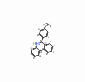 Cc1ccc(C2Nc3ccccc3-c3ccccc32)cc1